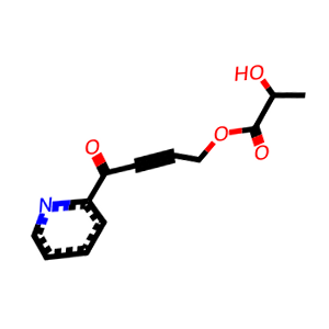 CC(O)C(=O)OCC#CC(=O)c1ccccn1